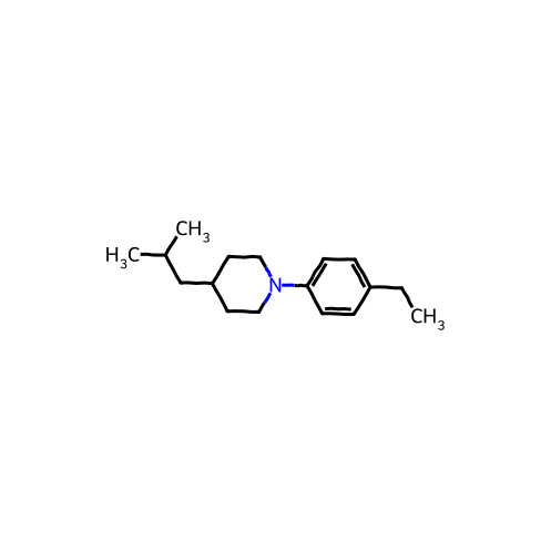 CCc1ccc(N2CCC(CC(C)C)CC2)cc1